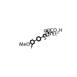 CCC(C(=O)O)N1Cc2sc(-c3ccc(-c4ccc(OC)c(F)c4)cc3)cc2S1(=O)=O